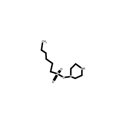 CCCCCCS(=O)(=O)ON1CCNCC1